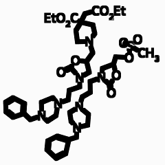 CCOC(=O)CC1(C(=O)OCC)CCN(CC2CN(CCCN3CCN(Cc4ccccc4)CC3)C(=O)O2)CC1.CS(=O)(=O)OCC1CN(CCCN2CCN(Cc3ccccc3)CC2)C(=O)O1